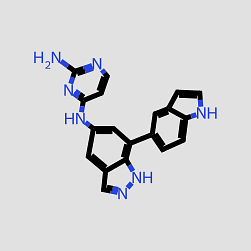 Nc1nccc(Nc2cc(-c3ccc4[nH]ccc4c3)c3[nH]ncc3c2)n1